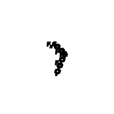 CC1CCC(c2ccc(C3CCC(C(F)(F)Oc4ccc(-c5ccc(C(F)(F)F)cc5)c(F)c4)CC3)c(F)c2)CC1